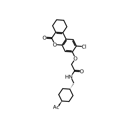 CC(=O)[C@H]1CC[C@H](CNC(=O)COc2cc3oc(=O)c4c(c3cc2Cl)CCCC4)CC1